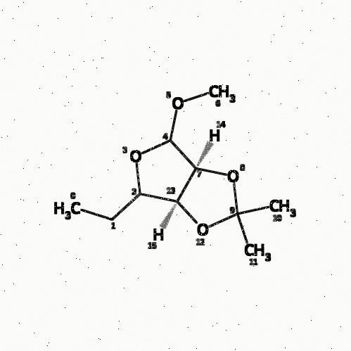 CCC1OC(OC)[C@H]2OC(C)(C)O[C@@H]12